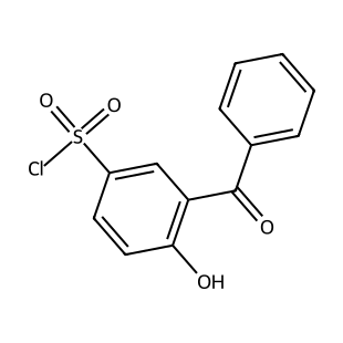 O=C(c1ccccc1)c1cc(S(=O)(=O)Cl)ccc1O